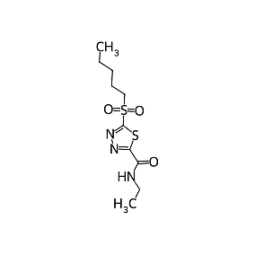 CCCCCS(=O)(=O)c1nnc(C(=O)NCC)s1